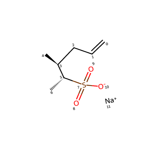 C=CC[C@H](C)[C@@H](C)S(=O)(=O)[O-].[Na+]